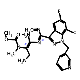 C=N/C(=N\C(N)=C(/CN)N(C)C(=O)OC)c1nn(Cc2cccnc2)c2c(F)cc(F)cc12